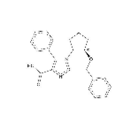 O=C(O)c1ncn(C2CCC[C@H]2OCc2ccccc2)c1-c1ccccc1